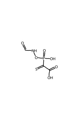 O=CNOP(=O)(O)C(=S)C(=O)O